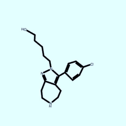 OCCCCCn1nc2c(c1-c1ccc(Cl)cc1)CCNCC2